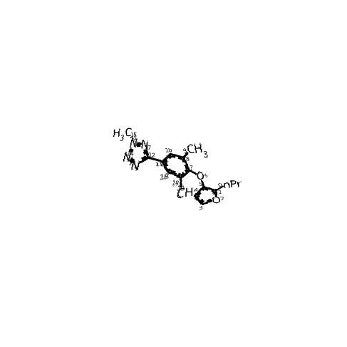 CCCc1occc1Oc1c(C)cc(-c2nnn(C)n2)cc1C